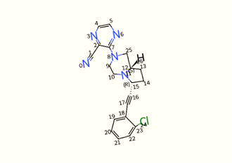 N#Cc1nccnc1N1CCN2[C@@H](CC[C@@H]2C#Cc2ccccc2Cl)C1